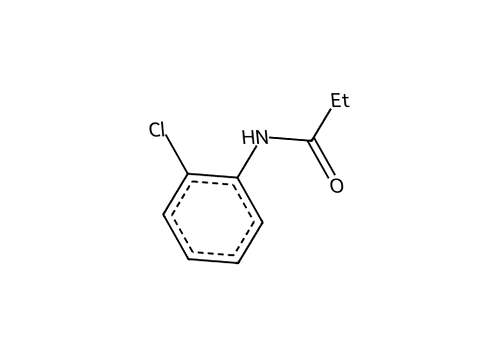 CCC(=O)Nc1ccccc1Cl